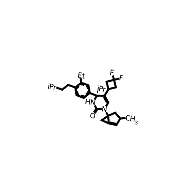 CCc1cc([C@]2(C(C)C)NC(=O)N(C34CC3=CC(C)C4)C=C2C2CC(F)(F)C2)ccc1CCC(C)C